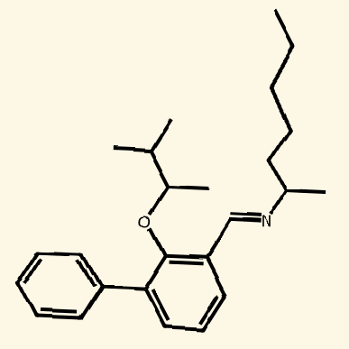 CCCCCC(C)/N=C/c1cccc(-c2ccccc2)c1OC(C)C(C)C